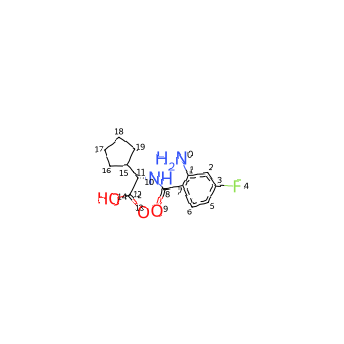 Nc1cc(F)ccc1C(=O)N[C@H](C(=O)O)C1CCCC1